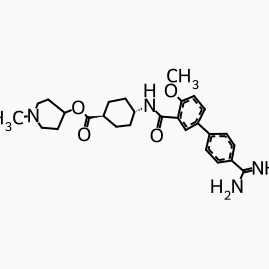 COc1ccc(-c2ccc(C(=N)N)cc2)cc1C(=O)N[C@H]1CC[C@H](C(=O)OC2CCN(C)CC2)CC1